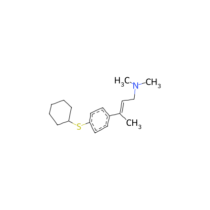 CC(=CCN(C)C)c1ccc(SC2CCCCC2)cc1